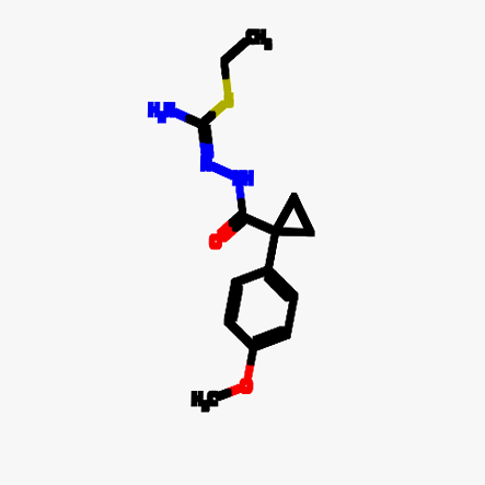 CCSC(N)=NNC(=O)C1(c2ccc(OC)cc2)CC1